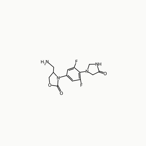 NCC1COC(=O)N1c1cc(F)c(N2CNC(=O)C2)c(F)c1